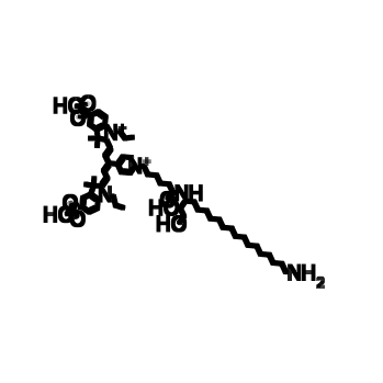 CCCN1/C(=C/C=C(/C=C/C2=[N+](CCC)c3ccc(S(=O)(=O)O)cc3C2(C)C)c2cc[n+](CCCCCC(=O)NC(CCCCCCCCCCCCCCCCN)C(O)CO)cc2)C(C)(C)c2cc(S(=O)(=O)O)ccc21